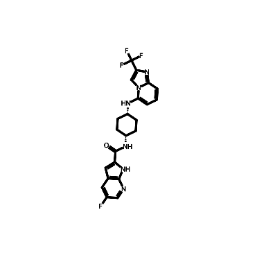 O=C(N[C@H]1CC[C@@H](Nc2cccc3nc(C(F)(F)F)cn23)CC1)c1cc2cc(F)cnc2[nH]1